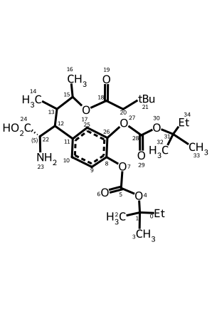 CCC(C)(C)OC(=O)Oc1ccc(C(C(C)C(C)OC(=O)CC(C)(C)C)[C@H](N)C(=O)O)cc1OC(=O)OC(C)(C)CC